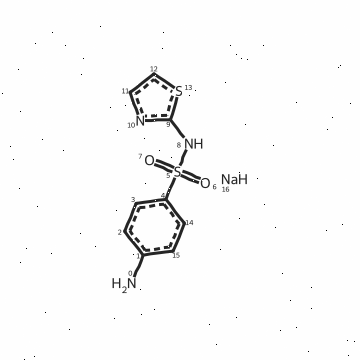 Nc1ccc(S(=O)(=O)Nc2nccs2)cc1.[NaH]